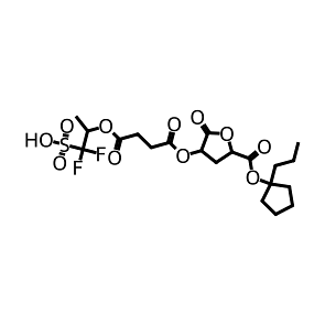 CCCC1(OC(=O)C2CC(OC(=O)CCC(=O)OC(C)C(F)(F)S(=O)(=O)O)C(=O)O2)CCCC1